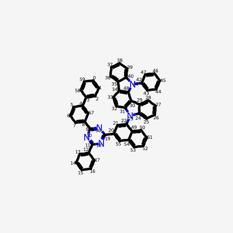 c1ccc(-c2cccc(-c3nc(-c4ccccc4)nc(-c4cc(-n5c6ccccc6c6c5ccc5c7ccccc7n(-c7ccccc7)c56)c5ccccc5c4)n3)c2)cc1